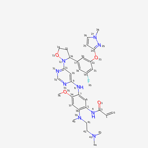 C=CC(=O)Nc1cc(Nc2cc(N3OCCC3c3cc(F)cc(Oc4ccn(C)n4)c3)ncn2)c(OC)cc1N(C)CCN(C)C